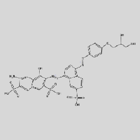 Nc1cc2c(O)c(/N=N/c3ccc(/N=N/c4ccc(OCC(O)CO)cc4)c4ccc(S(=O)(=O)O)cc34)c(S(=O)(=O)O)cc2cc1S(=O)(=O)O